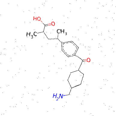 CC(CC(C)c1ccc(C(=O)C2CCC(CN)CC2)cc1)C(=O)O